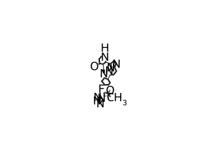 C[C@@H](Cn1cnnn1)Oc1cc(-c2ccc3ncc(-c4[nH]ccc(=O)c4C#N)n3n2)ccc1F